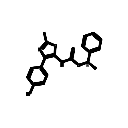 Cc1nc(-c2ccc(Br)cc2)c(NC(=O)O[C@H](C)c2ccccc2)o1